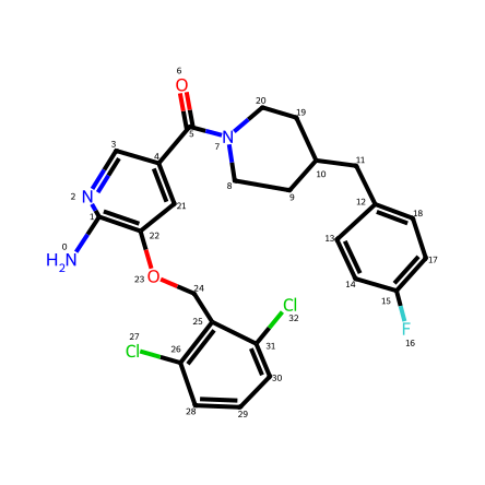 Nc1ncc(C(=O)N2CCC(Cc3ccc(F)cc3)CC2)cc1OCc1c(Cl)cccc1Cl